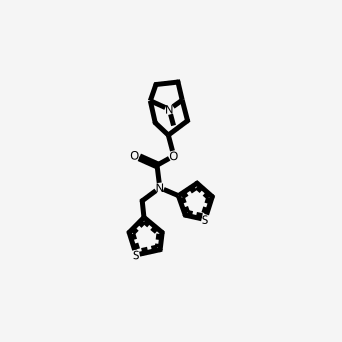 CN1C2CCC1CC(OC(=O)N(Cc1ccsc1)c1ccsc1)C2